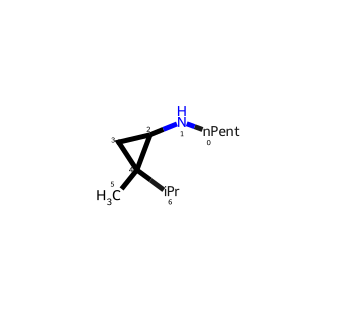 CCCCCNC1CC1(C)C(C)C